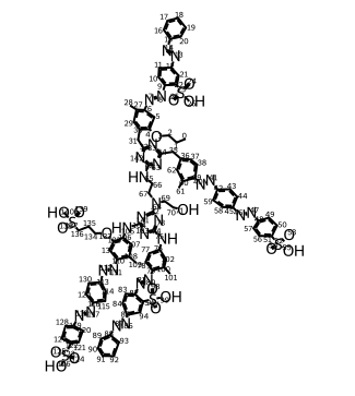 CCCOc1cc(N=Nc2ccc(N=Nc3ccccc3)cc2S(=O)(=O)O)c(C)cc1Cc1nc(Cc2ccc(N=Nc3ccc(N=Nc4ccc(S(=O)(=O)O)cc4)cc3)c(C)c2)nc(NCCN(CCO)c2nc(Nc3ccc(N=Nc4ccc(N=Nc5ccccc5)cc4S(=O)(=O)O)c(C)c3)nc(Nc3cc(C)c(N=Nc4ccc(N=Nc5ccc(S(=O)(=O)O)cc5)cc4)cc3OCCCS(=O)(=O)O)n2)n1